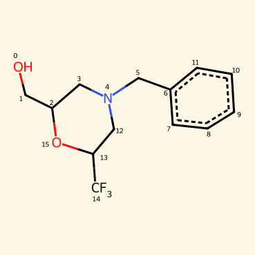 OCC1CN(Cc2ccccc2)CC(C(F)(F)F)O1